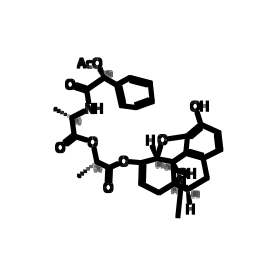 CC(=O)O[C@H](C(=O)N[C@@H](C)C(=O)O[C@@H](C)C(=O)OC1=CC[C@@]2(O)[C@H]3Cc4ccc(O)c5c4[C@@]2(CCN3C)[C@H]1O5)c1ccccc1